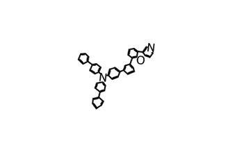 c1ccc(-c2ccc(N(c3ccc(-c4ccccc4)cc3)c3ccc(-c4cccc(-c5cccc6c5oc5ccncc56)c4)cc3)cc2)cc1